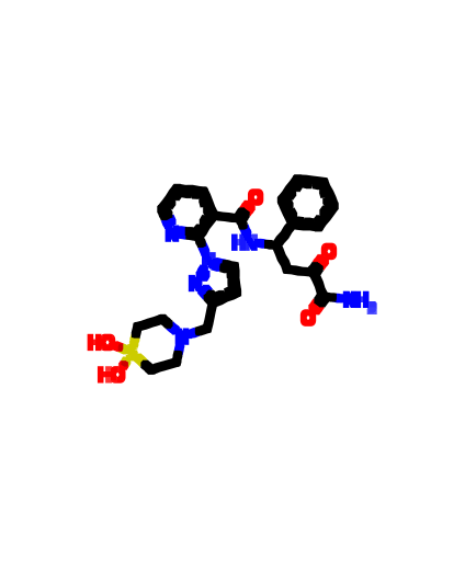 NC(=O)C(=O)CC(NC(=O)c1cccnc1-n1ccc(CN2CCS(O)(O)CC2)n1)c1ccccc1